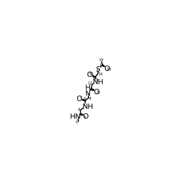 CNC(=O)CNC(=O)CNC(=O)CNC(=O)CSC(C)=O